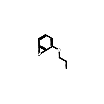 CCCOc1cc[c]c2c1O2